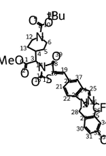 COC(=O)C(C1CCN(C(=O)OC(C)(C)C)CC1)N1C(=O)S/C(=C\c2ccc3c(cnn3Cc3ccc(Cl)cc3C(F)(F)F)c2)C1=O